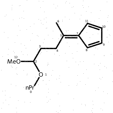 CCCOC(CCC(C)=C1C=CC=C1)OC